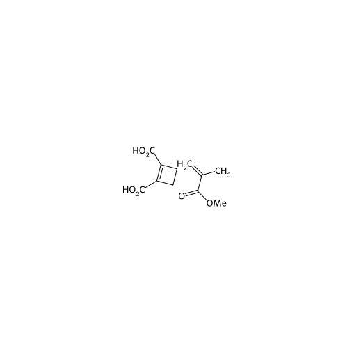 C=C(C)C(=O)OC.O=C(O)C1=C(C(=O)O)CC1